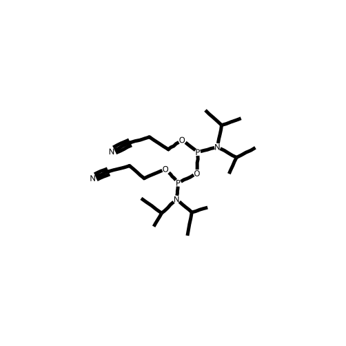 CC(C)N(C(C)C)P(OCCC#N)OP(OCCC#N)N(C(C)C)C(C)C